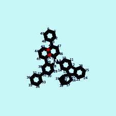 c1ccc(-c2ccc(N(c3ccc4c(c3)C3(CC5CCC3C5)c3ccccc3-4)c3ccc(-c4ccccc4)cc3-c3ccccc3)cc2)cc1